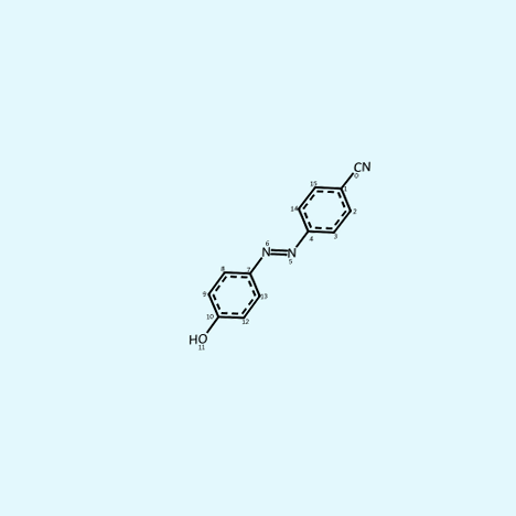 N#Cc1ccc(N=Nc2ccc(O)cc2)cc1